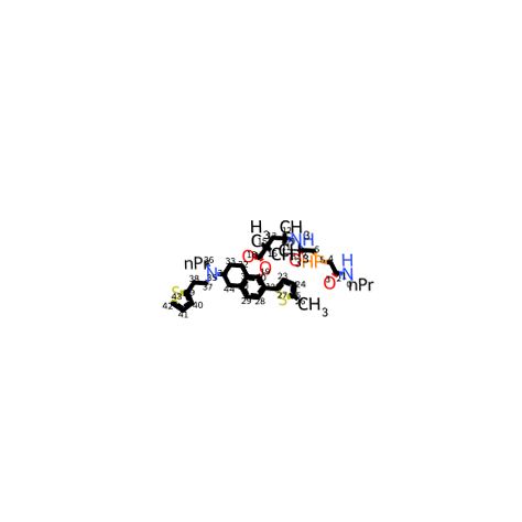 CCCNC(=O)CPCC(=O)NC(C)(C)CC(C)(C)C(=O)Oc1c(-c2ccc(C)s2)ccc2c1CCC(N(CCC)CCc1cccs1)C2